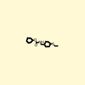 CCSc1ccc(CNC(=O)Oc2ccccc2)cc1